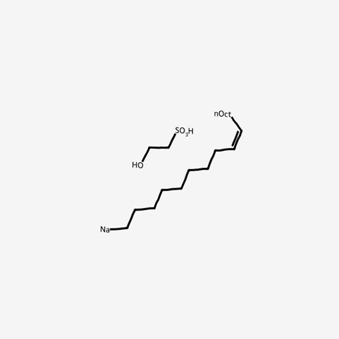 CCCCCCCC/C=C\CCCCCCC[CH2][Na].O=S(=O)(O)CCO